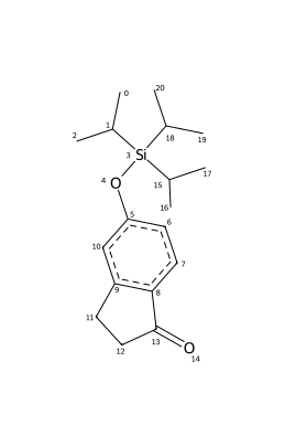 CC(C)[Si](Oc1ccc2c(c1)CCC2=O)(C(C)C)C(C)C